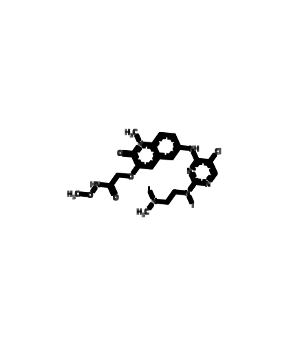 CONC(=O)COc1cc2cc(Nc3nc(N(I)CCN(C)I)ncc3Cl)ccc2n(C)c1=O